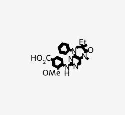 CCC1(C)CN(c2ccccc2)c2nc(Nc3ccc(C(=O)O)cc3OC)ncc2N(C)C1=O